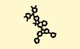 Cc1ccc(N(c2ccc(C)c(C)c2)c2ccc3c(c2)C(C)(C)c2cc(-n4c5ccc(-c6ccccc6)cc5c5cc(-c6ccccc6)ccc54)c4ccccc4c2-3)cc1C